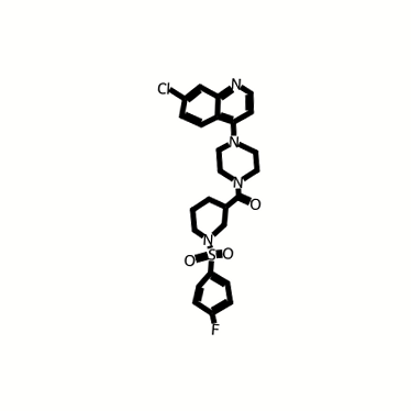 O=C(C1CCCN(S(=O)(=O)c2ccc(F)cc2)C1)N1CCN(c2ccnc3cc(Cl)ccc23)CC1